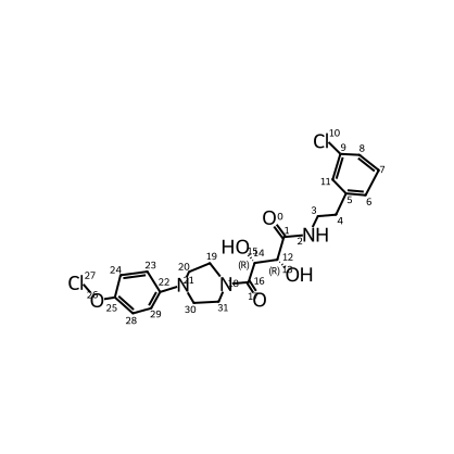 O=C(NCCc1cccc(Cl)c1)[C@H](O)[C@@H](O)C(=O)N1CCN(c2ccc(OCl)cc2)CC1